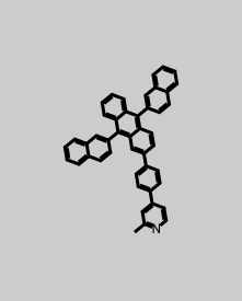 Cc1cc(-c2ccc(-c3ccc4c(-c5ccc6ccccc6c5)c5ccccc5c(-c5ccc6ccccc6c5)c4c3)cc2)ccn1